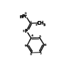 CCC/C(C)=P/c1ccccc1